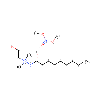 CCCCCCCCCCCCCCCCCC(=O)N[N+](C)(C)CCO.CCCO[N+](=O)OCCC